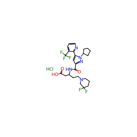 Cl.O=C(O)CC(CCN1CCCC(F)(F)C1)NC(=O)c1cc(-c2ncccc2C(F)(F)F)n(C2CCCC2)n1